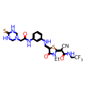 CCn1c(=C(C#N)C(=O)NCC(F)(F)F)sc(=CNc2cccc(NC(=O)CN3CNC(=S)NC3)c2)c1=O